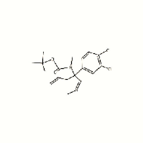 C=CCC(/C=N\C)(c1ccc(Cl)c(Cl)c1)N(C)C(=O)OC(C)(C)C